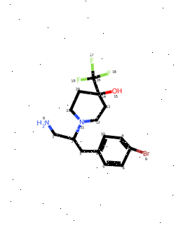 NCC(Cc1ccc(Br)cc1)N1CCC(O)(C(F)(F)F)CC1